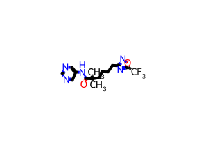 CC(C)(CCCCc1noc(C(F)(F)F)n1)C(=O)Nc1cncnc1